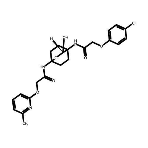 O=C(COc1cccc(C(F)(F)F)n1)NC12CCC(NC(=O)COc3ccc(Cl)cc3)(CC1)[C@@H](O)C2